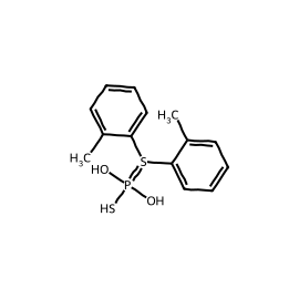 Cc1ccccc1S(c1ccccc1C)=P(O)(O)S